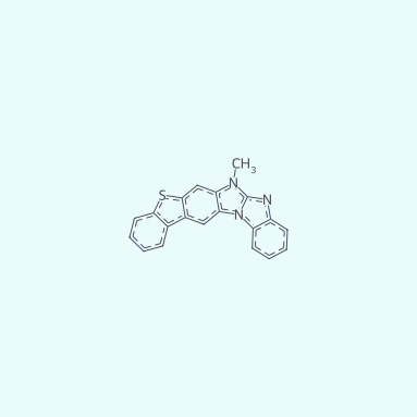 Cn1c2cc3sc4ccccc4c3cc2n2c3ccccc3nc12